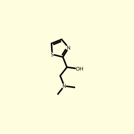 CN(C)CC(O)c1nccs1